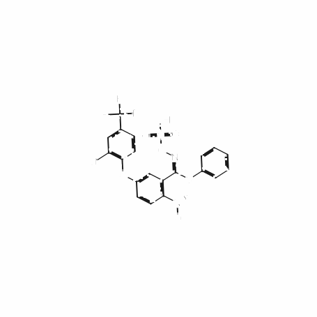 CS(=O)(=O)ON=C(Sc1ccccc1)c1cc(Oc2ccc(C(F)(F)F)cc2Cl)ccc1[N+](=O)[O-]